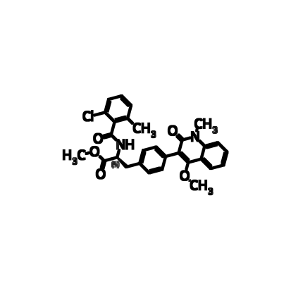 COC(=O)[C@H](Cc1ccc(-c2c(OC)c3ccccc3n(C)c2=O)cc1)NC(=O)c1c(C)cccc1Cl